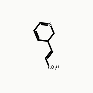 O=C(O)/C=C/C1C=CC=NC1